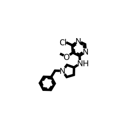 COc1c(Cl)ncnc1NC1CCN(Cc2ccccc2)C1